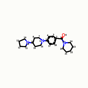 O=C(c1ccc(N2CCC(N3CCCC3)CC2)cc1)N1CCCCC1